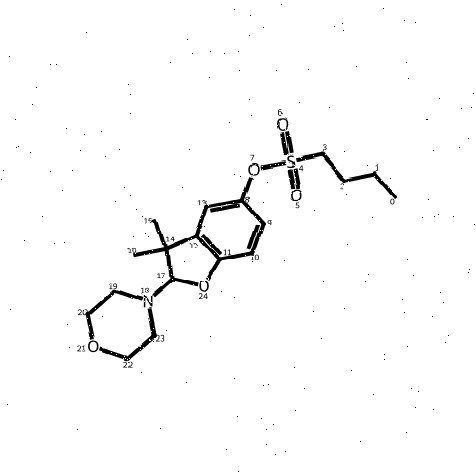 CCCCS(=O)(=O)Oc1ccc2c(c1)C(C)(C)C(N1CCOCC1)O2